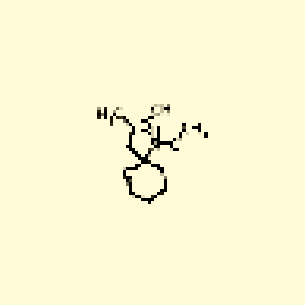 CCCC1([SiH](OC)OC)CCCCO1